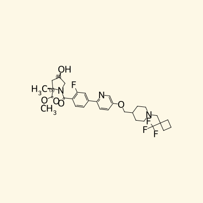 COC(=O)[C@]1(C)C[C@@H](O)CN1C(=O)c1ccc(-c2ccc(OCC3CCN(CC4(C(F)(F)F)CCC4)CC3)cn2)cc1F